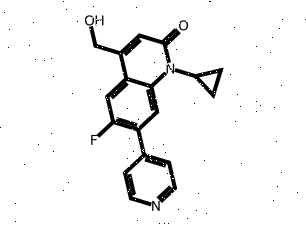 O=c1cc(CO)c2cc(F)c(-c3ccncc3)cc2n1C1CC1